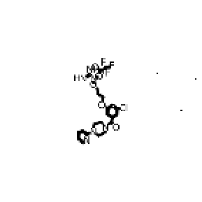 N=C(N)N(OCCCOc1cc(Cl)cc(C(=O)N2CCN(c3ccccn3)CC2)c1)OC(=O)C(F)(F)F